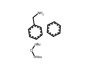 CCCCCCOCCCC.NCc1ccccc1.c1ccccc1